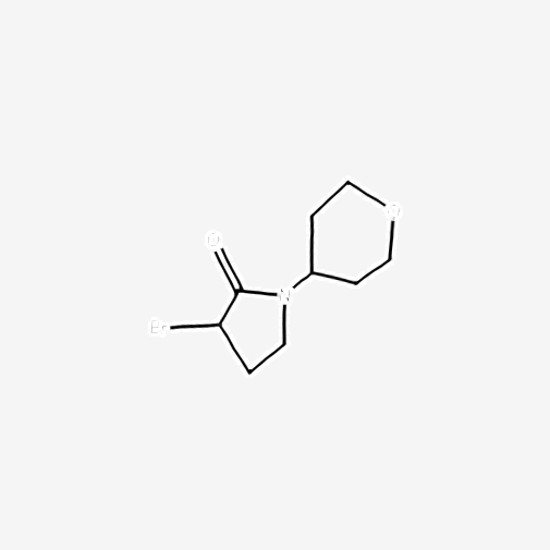 O=C1C(Br)CCN1C1CCOCC1